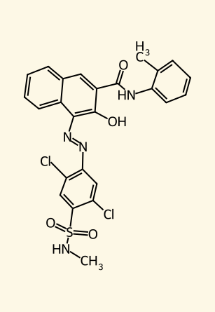 CNS(=O)(=O)c1cc(Cl)c(N=Nc2c(O)c(C(=O)Nc3ccccc3C)cc3ccccc23)cc1Cl